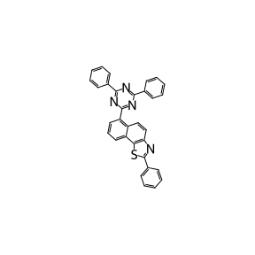 c1ccc(-c2nc(-c3ccccc3)nc(-c3cccc4c3ccc3nc(-c5ccccc5)sc34)n2)cc1